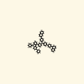 c1ccc(-c2ccc3c(c2)c2c(-c4cccc(N(c5ccc(-c6ccc(-c7cccc8ccccc78)cc6)cc5)c5ccc(-c6ccc7ccccc7c6)cc5)c4)cccc2n3-c2ccccc2)cc1